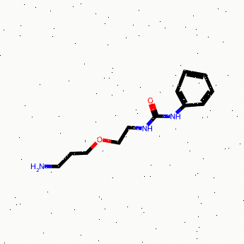 NCCCOCCNC(=O)Nc1cc[c]cc1